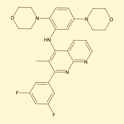 Cc1c(-c2cc(F)cc(F)c2)nc2ncccc2c1Nc1cc(N2CCOCC2)ccc1N1CCOCC1